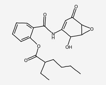 CCCCC(CC)C(=O)Oc1ccccc1C(=O)NC1=CC(=O)C2OC2C1O